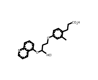 Cc1cc(OCCC(C)Oc2cccc3ncccc23)ccc1CCC(=O)O.Cl